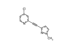 Cn1ccc(C#Cc2cc(Cl)ccn2)n1